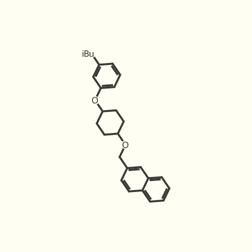 CCC(C)c1cccc(OC2CCC(OCc3ccc4ccccc4c3)CC2)c1